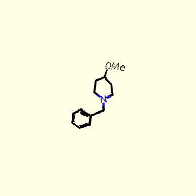 COC1CCN(Cc2cc[c]cc2)CC1